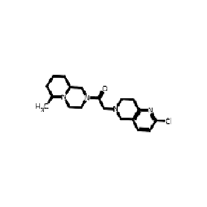 CC1CCCC2CN(C(=O)CN3CCc4nc(Cl)ccc4C3)CCN12